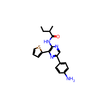 CCC(C)C(=O)Nc1ncc(-c2ccc(N)cc2)nc1-c1cccs1